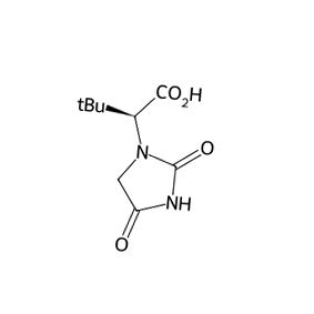 CC(C)(C)[C@@H](C(=O)O)N1CC(=O)NC1=O